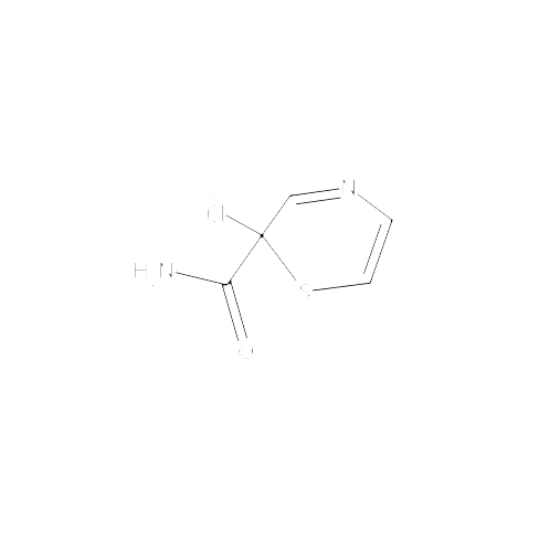 NC(=O)C1(Cl)C=NC=CS1